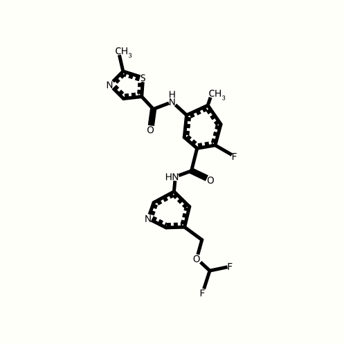 Cc1ncc(C(=O)Nc2cc(C(=O)Nc3cncc(COC(F)F)c3)c(F)cc2C)s1